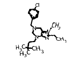 CCc1nc2c(n1C)CN(Cc1ccc(Cl)cc1)CN2CCC(C)(C)C